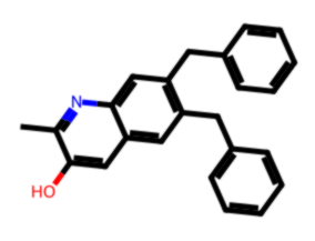 Cc1nc2cc(Cc3ccccc3)c(Cc3ccccc3)cc2cc1O